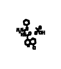 CS(=O)(=O)O.NC(=Nc1ccccc1)NC(=O)c1ccnc2c(Cl)cccc12